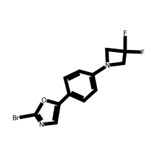 FC1(F)CN(c2ccc(-c3cnc(Br)o3)cc2)C1